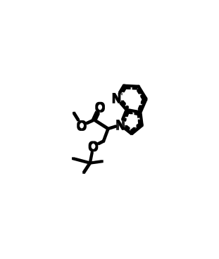 COC(=O)C(COC(C)(C)C)n1ccc2cccnc21